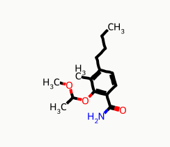 CCCCc1ccc(C(N)=O)c(OC(C)OC)c1C